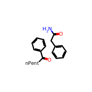 CCCCCC(=O)c1ccccc1.NC(=O)Cc1ccccc1